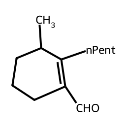 CCCCCC1=C(C=O)CCCC1C